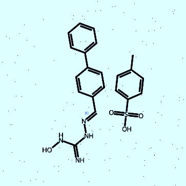 Cc1ccc(S(=O)(=O)O)cc1.N=C(NO)N/N=C/c1ccc(-c2ccccc2)cc1